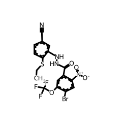 CCSc1ccc(C#N)cc1NNC(=O)c1cc(OC(F)(F)F)c(Br)cc1[N+](=O)[O-]